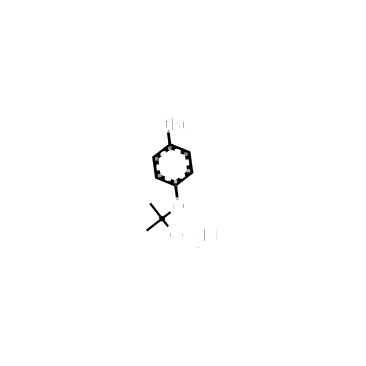 CCOC(=O)C(C)(C)Oc1ccc(C(C)(C)C)cc1